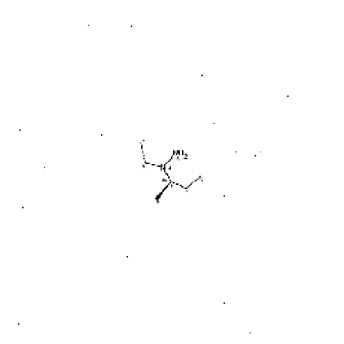 CC[C@@H](C)N(N)CC